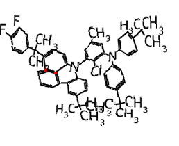 Cc1cc(N(c2ccc(C(C)(C)C)cc2)c2ccc(C(C)(C)C)cc2)c(Cl)c(N(c2ccc(C(C)(C)c3ccc(F)c(F)c3)cc2)c2ccc(C(C)(C)C)cc2-c2ccccc2)c1